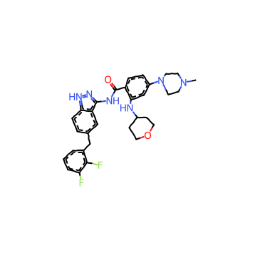 CN1CCN(c2ccc(C(=O)Nc3n[nH]c4ccc(Cc5cccc(F)c5F)cc34)c(NC3CCOCC3)c2)CC1